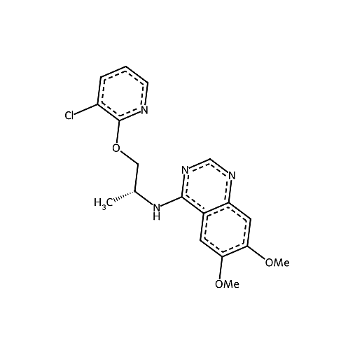 COc1cc2ncnc(N[C@H](C)COc3ncccc3Cl)c2cc1OC